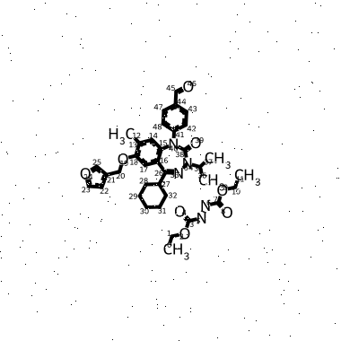 CCOC(=O)N=NC(=O)OCC.Cc1cc2c(cc1OCc1ccoc1)C(C1CCCCC1)=NN(C(C)C)C(=O)N2c1ccc(C=O)cc1